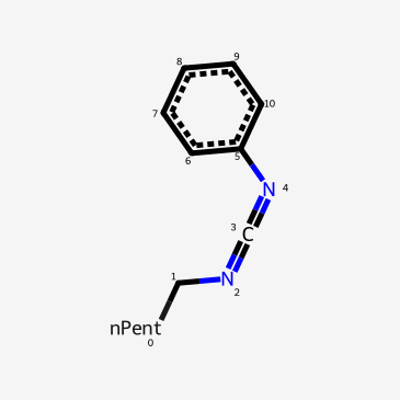 CCCCCCN=C=Nc1ccccc1